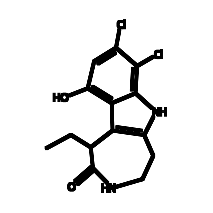 CCC1C(=O)NCCc2[nH]c3c(Cl)c(Cl)cc(O)c3c21